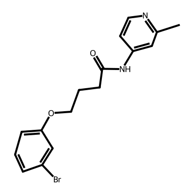 Cc1cc(NC(=O)CCCOc2cccc(Br)c2)ccn1